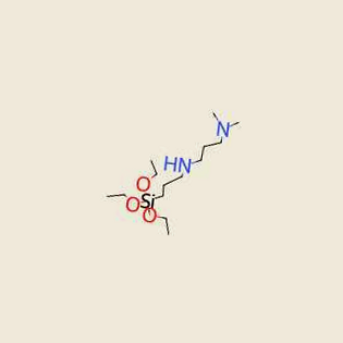 CCO[Si](CCCNCCCN(C)C)(OCC)OCC